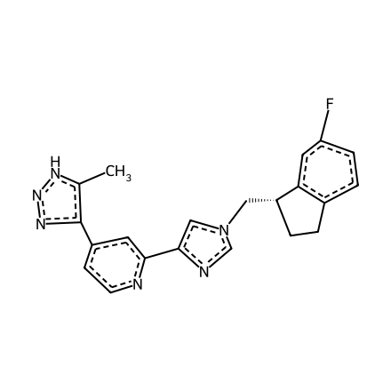 Cc1[nH]nnc1-c1ccnc(-c2cn(C[C@H]3CCc4ccc(F)cc43)cn2)c1